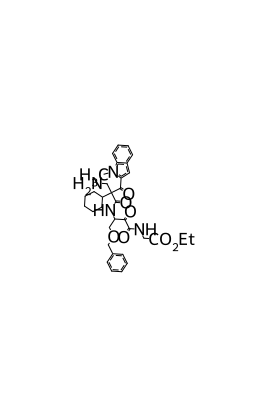 CCOC(=O)CNC(=O)C(=O)C(COCc1ccccc1)NC(=O)C(CN)(C(=O)c1cc2ccccc2n1C)C1CCCCC1